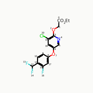 CCOC(=O)COc1ncc(Oc2ccc(C(F)F)c(F)c2)cc1Cl